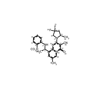 Cc1cc([C@@H](C)Nc2ccccc2C(=O)O)c2nc(N3CC(F)(F)C[C@H]3C)c(C#N)c(=O)n2c1